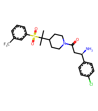 CC(C)(C1CCN(C(=O)C[C@@H](N)c2ccc(Cl)cc2)CC1)S(=O)(=O)c1cccc(C(F)(F)F)c1